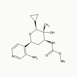 CC(C)(C)OC(=O)N[C@H]1C[C@@H](c2ccncc2N)O[C@@H](C2CC2)[C@]1(C)O